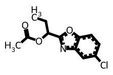 CCC(OC(C)=O)c1nc2cc(Cl)ccc2o1